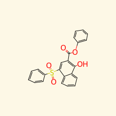 O=C(Oc1ccccc1)c1cc(S(=O)(=O)c2ccccc2)c2ccccc2c1O